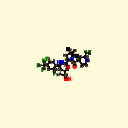 O=C(N[C@@H](c1cc(F)c(C(F)(F)F)cc1F)[C@H]1C[C@@H](O)C1)[C@H]1C[C@H]2C[C@H]2N1C(=O)c1ccnc(CF)c1